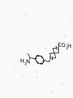 CC(N)c1ccc(CN2CC3(C2)CN(C(=O)O)C3)cc1